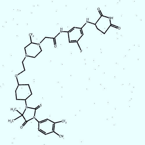 CC1(C)C(=O)N(c2ccc(C#N)c(C(F)(F)F)c2)C(=S)N1C1CCC(OCCN2CCN(CC(=O)Nc3cc(F)cc(NC4CCC(=O)NC4=O)c3)C(C(F)(F)F)C2)CC1